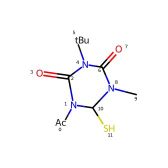 CC(=O)N1C(=O)N(C(C)(C)C)C(=O)N(C)C1S